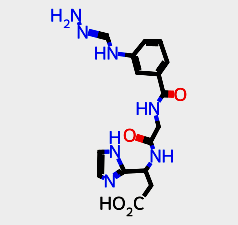 NN=CNc1cccc(C(=O)NCC(=O)NC(CC(=O)O)c2ncc[nH]2)c1